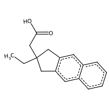 CCC1(CC(=O)O)Cc2cc3ccccc3cc2C1